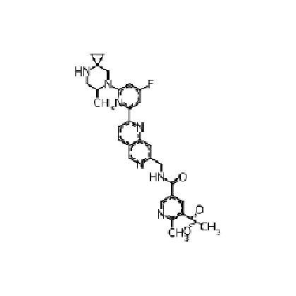 Cc1ncc(C(=O)NCc2cc3nc(-c4cc(F)cc(N5CC6(CC6)NCC5C)n4)ccc3cn2)cc1S(C)(=O)=O